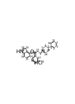 Cl.c1ccc(C2CCN(CC[C@H](Oc3cccc4[nH]ccc34)c3ccccc3)CC2)cc1